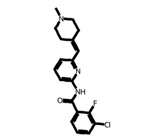 CN1CCC(=Cc2cccc(NC(=O)c3cccc(Cl)c3F)n2)CC1